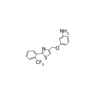 Nc1cccc(OCc2csc(-c3ccccc3C(F)(F)F)n2)c1